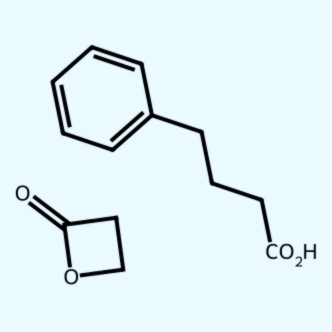 O=C(O)CCCc1ccccc1.O=C1CCO1